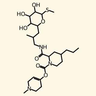 CCCC1CCN(C(=O)OC2=CCN(C)CC2)C(C(=O)NCC(C)CC2OC(SC)C(O)C(O)C2O)C1